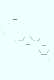 C=CCN(C)CC1CC1COc1ccc(C(=O)c2ccc(Br)cc2)cc1